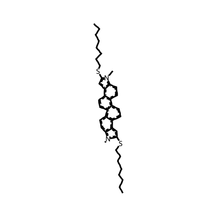 CCCCCCCCSc1cc2c3ccc4c(ccc5c4ccc4c5cc(SCCCCCCCC)n4C)c3ccc2n1C